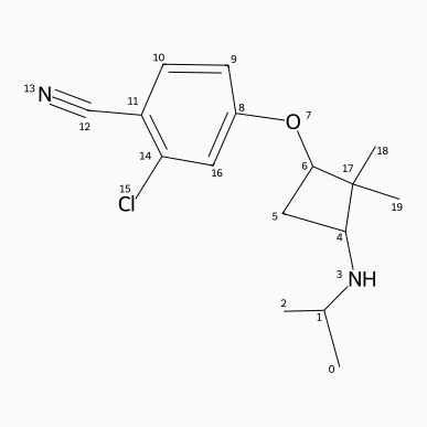 CC(C)NC1CC(Oc2ccc(C#N)c(Cl)c2)C1(C)C